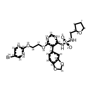 O=S(=O)(NCC1CCCO1)Nc1ncnc(OCCOc2ncc(Br)cn2)c1-c1ccc2c(c1)OCO2